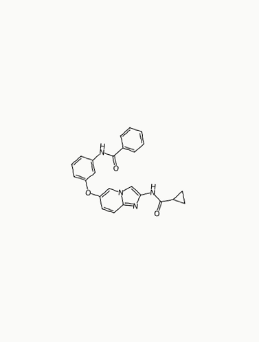 O=C(Nc1cccc(Oc2ccc3nc(NC(=O)C4CC4)cn3c2)c1)c1ccccc1